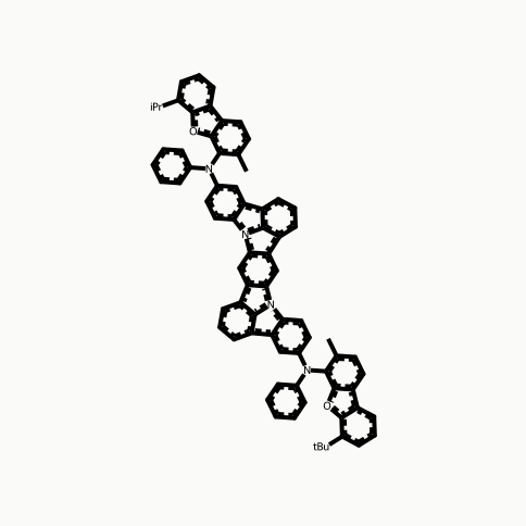 Cc1ccc2c(oc3c(C(C)C)cccc32)c1N(c1ccccc1)c1ccc2c(c1)c1cccc3c4cc5c(cc4n2c13)c1cccc2c3cc(N(c4ccccc4)c4c(C)ccc6c4oc4c(C(C)(C)C)cccc46)ccc3n5c21